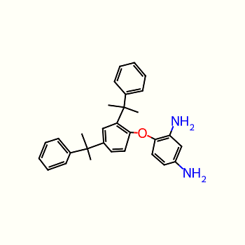 CC(C)(c1ccccc1)c1ccc(Oc2ccc(N)cc2N)c(C(C)(C)c2ccccc2)c1